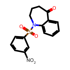 O=C1CCCN(S(=O)(=O)c2cccc([N+](=O)[O-])c2)c2ccccc21